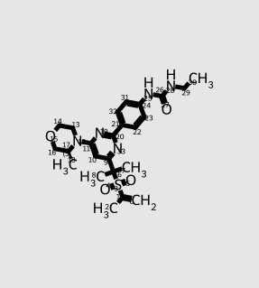 C=C(C)S(=O)(=O)C(C)(C)c1cc(N2CCOC[C@@H]2C)nc(-c2ccc(NC(=O)NCC)cc2)n1